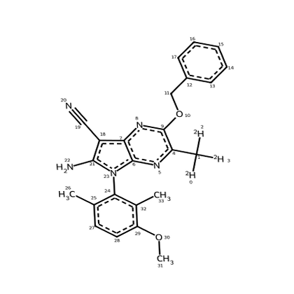 [2H]C([2H])([2H])c1nc2c(nc1OCc1ccccc1)c(C#N)c(N)n2-c1c(C)ccc(OC)c1C